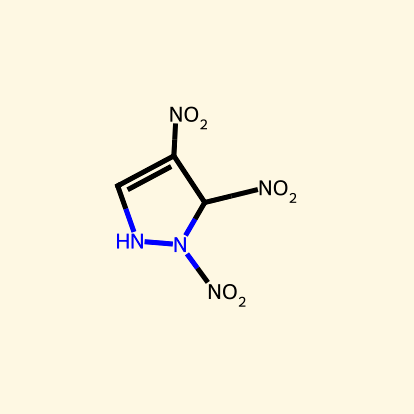 O=[N+]([O-])C1=CNN([N+](=O)[O-])C1[N+](=O)[O-]